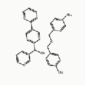 CC(C)(C)c1ccc(COCc2ccc(C(C)(C)C)cc2)cc1.OC(c1ccc(-c2ccccc2)cc1)c1cccnc1